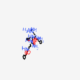 N=C(N)NCCC[C@@H](NC(=O)[C@@H](N)Cc1ccccc1)C(=O)N[C@@H](CC12CC(C1)C2)C(=O)N[C@@H](CCCCNC(=O)OCc1ccccc1)C(N)=O